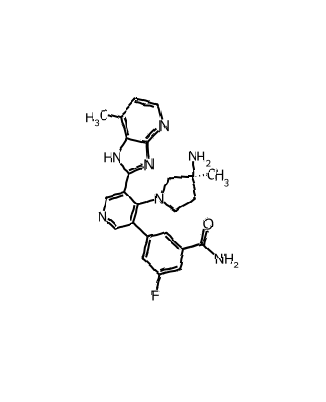 Cc1ccnc2nc(-c3cncc(-c4cc(F)cc(C(N)=O)c4)c3N3CC[C@](C)(N)C3)[nH]c12